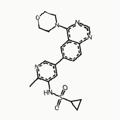 Cc1ncc(-c2ccc3ncnc(N4CCOCC4)c3c2)cc1NS(=O)(=O)C1CC1